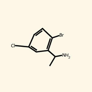 CC(N)c1cc(Cl)ccc1Br